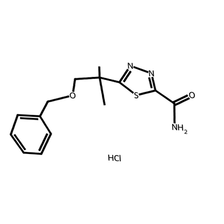 CC(C)(COCc1ccccc1)c1nnc(C(N)=O)s1.Cl